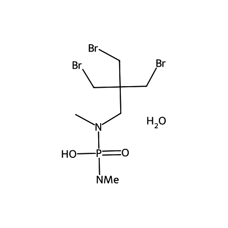 CNP(=O)(O)N(C)CC(CBr)(CBr)CBr.O